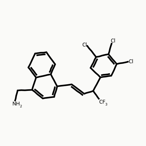 NCc1ccc(C=CC(c2cc(Cl)c(Cl)c(Cl)c2)C(F)(F)F)c2ccccc12